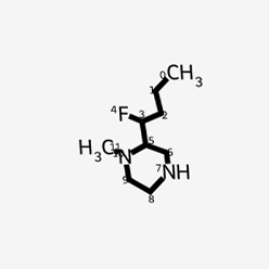 CCCC(F)C1CNCCN1C